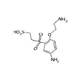 NCCOc1ccc(N)cc1S(=O)(=O)CCS(=O)(=O)O